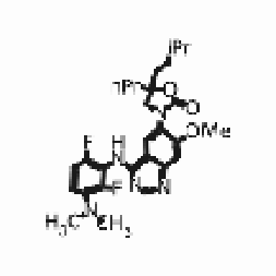 CCCC1(CCC(C)C)CN(c2cc3c(Nc4c(F)ccc(N(C)C)c4F)ncnc3cc2OC)C(=O)O1